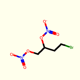 O=[N+]([O-])OCC(CCBr)O[N+](=O)[O-]